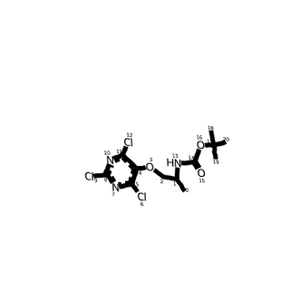 CC(COc1c(Cl)nc(Cl)nc1Cl)NC(=O)OC(C)(C)C